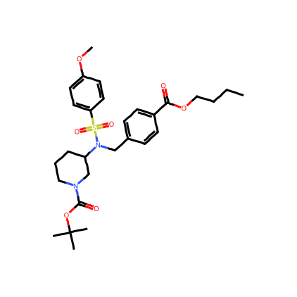 CCCCOC(=O)c1ccc(CN(C2CCCN(C(=O)OC(C)(C)C)C2)S(=O)(=O)c2ccc(OC)cc2)cc1